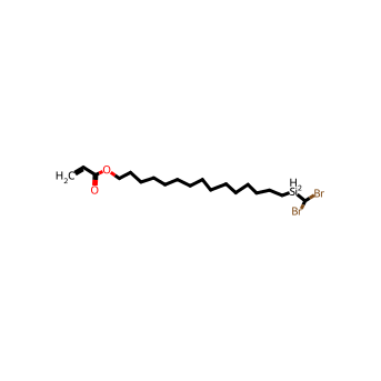 C=CC(=O)OCCCCCCCCCCCCCCC[SiH2]C(Br)Br